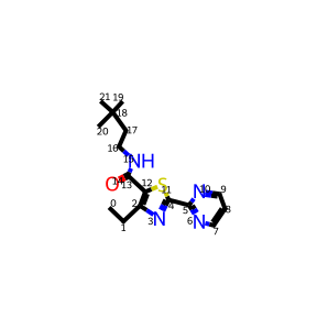 CCc1nc(-c2ncccn2)sc1C(=O)NCCC(C)(C)C